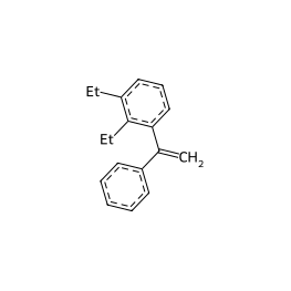 C=C(c1ccccc1)c1cccc(CC)c1CC